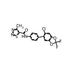 Cc1nnsc1C(=O)Nc1ccc(-c2cc3c(cc2Cl)OC(F)(F)O3)cc1